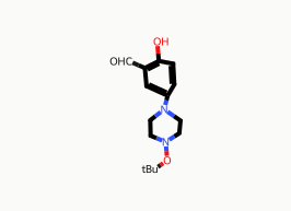 CC(C)(C)ON1CCN(c2ccc(O)c(C=O)c2)CC1